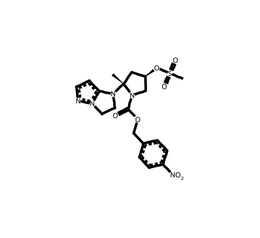 C[C@@]1(N2CCn3nccc32)C[C@@H](OS(C)(=O)=O)CN1C(=O)OCc1ccc([N+](=O)[O-])cc1